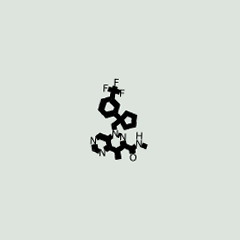 C=C1C(C(=O)NC)=NN(CC2(c3cccc(C(F)(F)F)c3)CCCC2)c2cncnc21